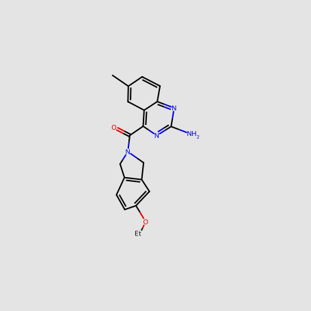 CCOc1ccc2c(c1)CN(C(=O)c1nc(N)nc3ccc(C)cc13)C2